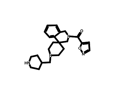 O=C(c1ccno1)N1Cc2ccccc2C2(CCN(CC3CCNCC3)CC2)C1